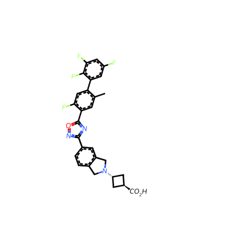 Cc1cc(-c2nc(-c3ccc4c(c3)CN([C@H]3C[C@H](C(=O)O)C3)C4)no2)c(F)cc1-c1cc(F)cc(F)c1F